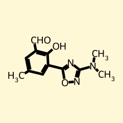 Cc1cc(C=O)c(O)c(-c2nc(N(C)C)no2)c1